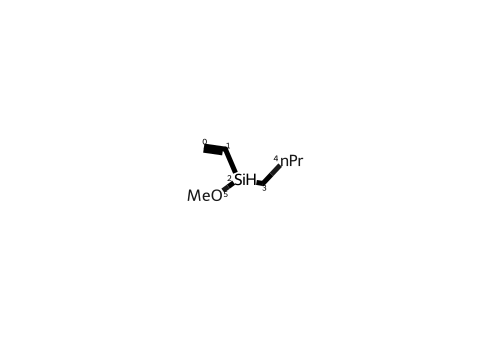 C=C[SiH](CCCC)OC